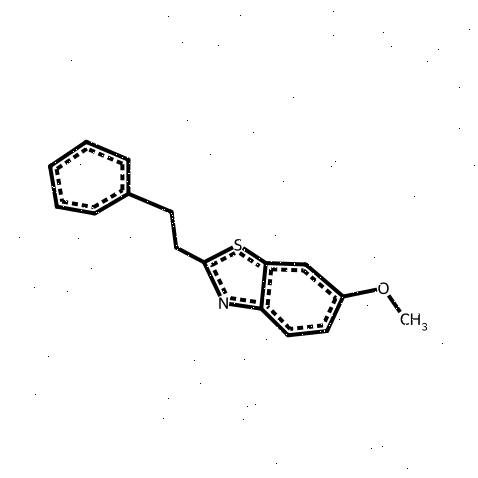 COc1ccc2nc(CCc3ccccc3)sc2c1